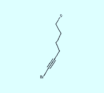 [S]CCCCC#CBr